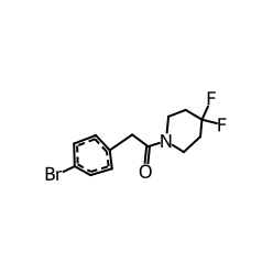 O=C(Cc1ccc(Br)cc1)N1CCC(F)(F)CC1